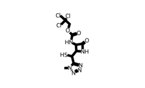 Cn1nnnc1C(S)C1NC(=O)C1NC(=O)OCC(Cl)(Cl)Cl